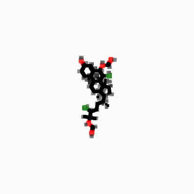 C[C@H](CCC(Cl)C(C)(C)OC=O)[C@H]1CC[C@H]2[C@@H]3C(Cl)C(OC=O)C4=CC(=O)CC[C@]4(C)[C@H]3CC[C@]12C